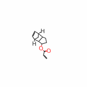 C=CC(=O)OC1CCC2C1[C@@H]1C=C[C@H]2C1